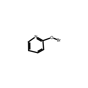 BrOc1ccc[c]n1